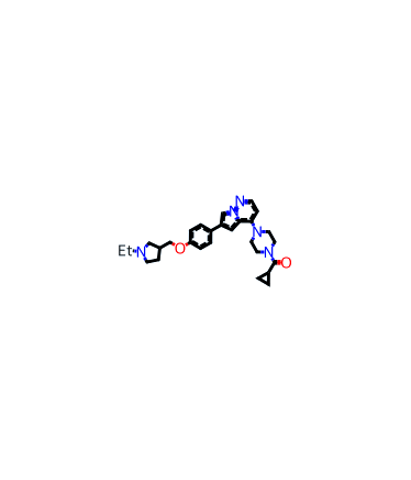 CCN1CCC(COc2ccc(-c3cc4c(N5CCN(C(=O)C6CC6)CC5)ccnn4c3)cc2)C1